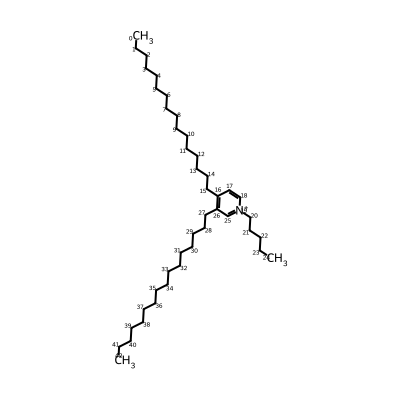 CCCCCCCCCCCCCCCCc1cc[n+](CCCCC)cc1CCCCCCCCCCCCCCCC